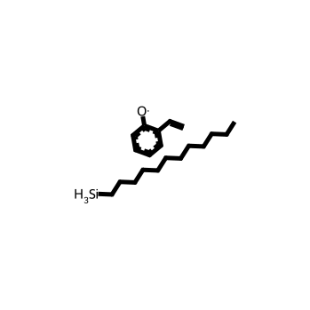 C=Cc1ccccc1[O].CCCCCCCCCCCC[SiH3]